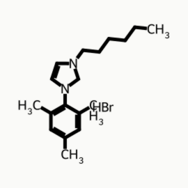 Br.CCCCCCN1C=CN(c2c(C)cc(C)cc2C)C1